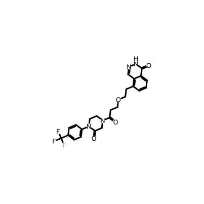 O=C(CCOCCc1cccc2c(=O)[nH]ncc12)N1CCN(c2ccc(C(F)(F)F)cc2)C(=O)C1